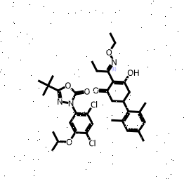 CC(C)Oc1cc(-n2nc(C(C)(C)C)oc2=O)c(Cl)cc1Cl.CCO/N=C(\CC)C1=C(O)CC(c2c(C)cc(C)cc2C)CC1=O